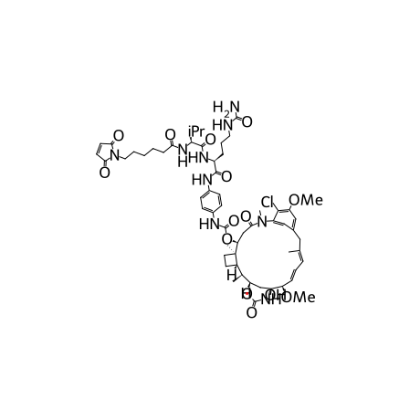 COc1cc2cc(c1Cl)N(C)C(=O)C[C@H](OC(=O)Nc1ccc(NC(=O)[C@H](CCCNC(N)=O)NC(=O)[C@@H](NC(=O)CCCCCN3C(=O)C=CC3=O)C(C)C)cc1)[C@]1(C)CC[C@H]1[C@H](C)[C@@H]1C[C@@](O)(NC(=O)O1)[C@H](OC)/C=C/C=C(\C)C2